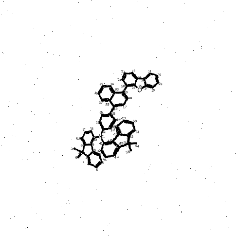 CC1(C)c2ccccc2-c2c(N(c3ccc(-c4ccc(-c5cccc6c5oc5ccccc56)c5ccccc45)cc3)c3cccc4c3-c3ccccc3C4(C)C)cccc21